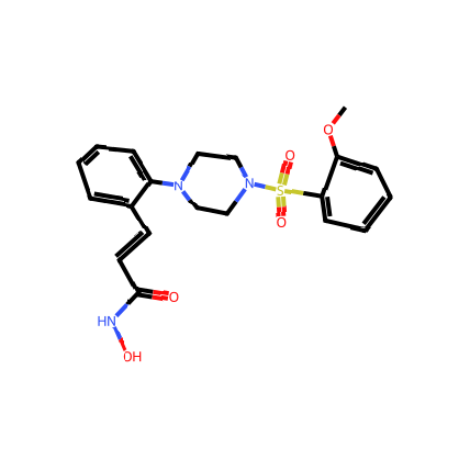 COc1ccccc1S(=O)(=O)N1CCN(c2ccccc2/C=C/C(=O)NO)CC1